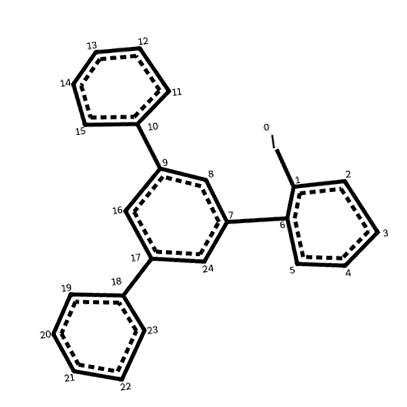 Ic1ccccc1-c1cc(-c2ccccc2)cc(-c2ccccc2)c1